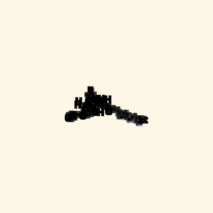 CC/C=C\C/C=C\C/C=C\C/C=C\C/C=C\C/C=C\CCC(=O)NCCNC(=O)C1=CN(C(=O)c2ccc(OCCCN3CCOCC3)cc2)CC(C)(C)c2c1[nH]c1cc(F)ccc21